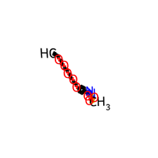 C#CCOCCOCCOCCOCCOc1ccc(-c2nnc(S(C)(=O)=O)o2)cc1